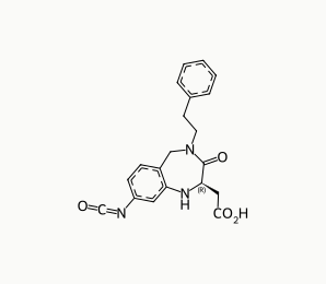 O=C=Nc1ccc2c(c1)N[C@H](CC(=O)O)C(=O)N(CCc1ccccc1)C2